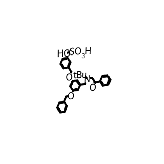 CC(C)(C)N(CC(=O)c1ccccc1)Cc1cc(OCc2ccccc2)cc(OCc2ccccc2)c1.O=S(=O)(O)O